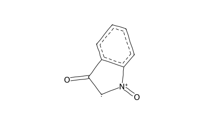 O=C1[CH][N+](=O)c2ccccc21